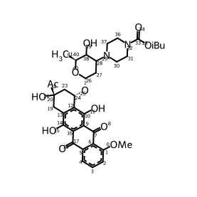 COc1cccc2c1C(=O)c1c(O)c3c(c(O)c1C2=O)C[C@@](O)(C(C)=O)C[C@@H]3O[C@H]1CC(N2CCN(C(=O)OCC(C)C)CC2)C(O)[C@H](C)O1